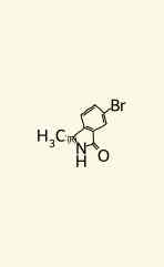 C[C@H]1NC(=O)c2cc(Br)ccc21